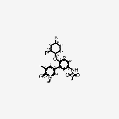 Cc1cc(-c2cc(NS(C)(=O)=O)ccc2OC2CCC(F)CC2F)cn(C)c1=O